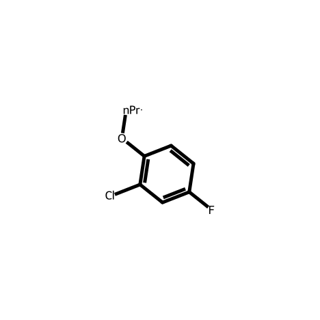 CC[CH]Oc1ccc(F)cc1Cl